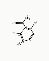 NC(=O)c1c(Cl)ccc(O)c1F